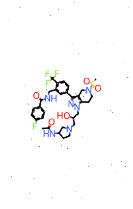 CC(=O)NC1CCN(CC(O)Cn2nc(-c3ccc(C(F)(F)F)c(CNC(=O)c4ccc(F)cc4)c3)c3c2CCN(S(C)(=O)=O)C3)C1